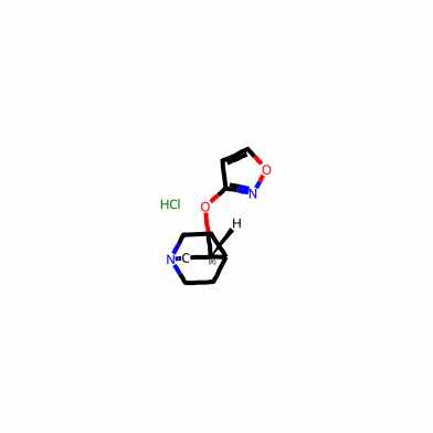 Cl.c1cc(O[C@H]2CN3CCC2CC3)no1